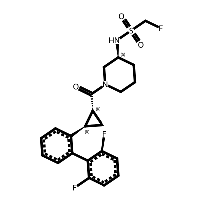 O=C([C@@H]1C[C@H]1c1ccccc1-c1c(F)cccc1F)N1CCC[C@H](NS(=O)(=O)CF)C1